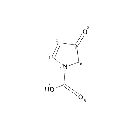 O=C1C=CN(C(=O)O)C1